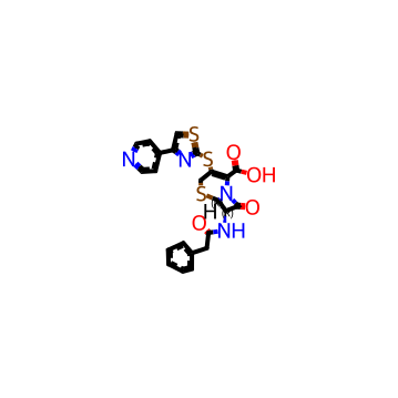 O=C(Cc1ccccc1)N[C@@H]1C(=O)N2C(C(=O)O)=C(Sc3nc(-c4ccncc4)cs3)CS[C@H]12